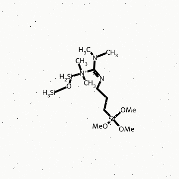 CO[Si](CCCN=C(N(C)C)[N+](C)(C)[SiH2]O[SiH3])(OC)OC